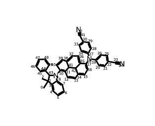 CC1(C)c2ccccc2N(C2=C3C=CC4=CC=C(N(c5ccc(C#N)cc5)c5ccc(C#N)cc5)C5=CC=C(C=C2)C3C45)C1c1ccccc1